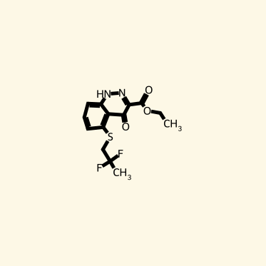 CCOC(=O)c1n[nH]c2cccc(SCC(C)(F)F)c2c1=O